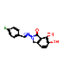 O=C1c2c(ccc(O)c2O)CN1/N=C/c1ccc(F)cc1